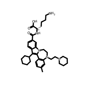 Cc1ccc2c(c1)N(CCN1CCCCC1)CCn1c-2c(C2CCCCC2)c2ccc(C(=O)N[C@@H](CCCCN)C(=O)O)cc21